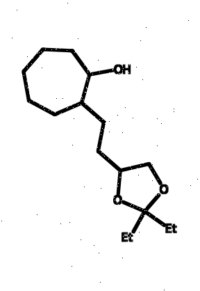 CCC1(CC)OCC(CCC2CCCCCC2O)O1